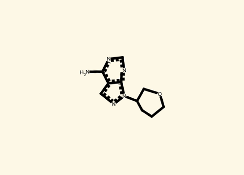 Nc1ncnc2c1cnn2C1CCCOC1